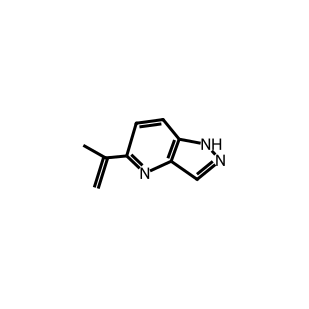 C=C(C)c1ccc2[nH]ncc2n1